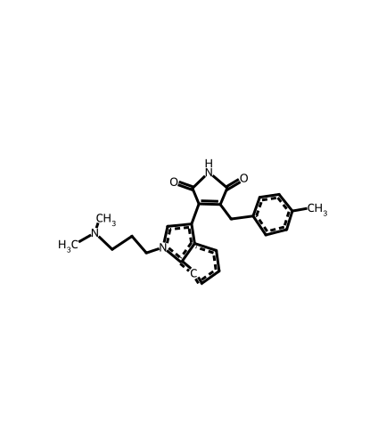 Cc1ccc(CC2=C(c3cn(CCCN(C)C)c4ccccc34)C(=O)NC2=O)cc1